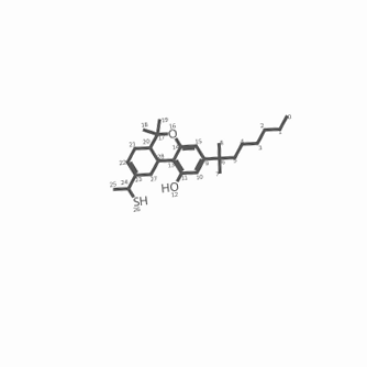 CCCCCCC(C)(C)c1cc(O)c2c(c1)OC(C)(C)C1CC=C(C(C)S)CC21